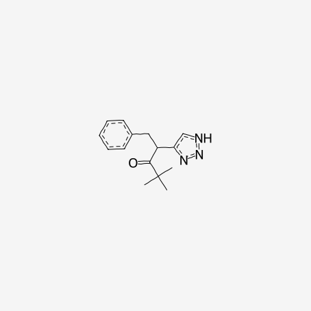 CC(C)(C)C(=O)C(Cc1ccccc1)c1c[nH]nn1